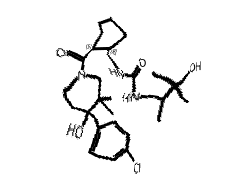 CC(NC(=O)N[C@@H]1CCC[C@@H]1C(=O)N1CCC(O)(c2ccc(Cl)cc2)C(C)(C)C1)C(C)(C)O